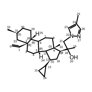 C=C[C@]12CC[C@@H]3C(CC[C@@]4(C)C3[C@H](C3CC3)C[C@@H]4C(C)(O)Cn3cc(C)cn3)[C@H]1CC[C@H](C)C2